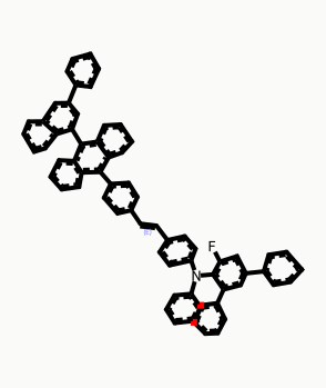 Fc1cc(-c2ccccc2)cc(-c2ccccc2)c1N(c1ccccc1)c1ccc(/C=C/c2ccc(-c3c4ccccc4c(-c4cc(-c5ccccc5)cc5ccccc45)c4ccccc34)cc2)cc1